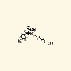 CCCCCCCCCC(=O)NC(Cc1c#cc(O)cc1)C(=O)O